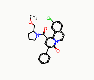 COC[C@@H]1CCCN1C(=O)c1cc(-c2ccccc2)c(=O)n2ccc3ccc(Cl)cc3c12